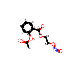 CC(=O)Oc1ccccc1C(=O)OCCON=O